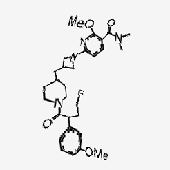 COc1cccc(C(CCF)C(=O)N2CCC(CC3CN(c4ccc(C(=O)N(C)C)c(OC)n4)C3)CC2)c1